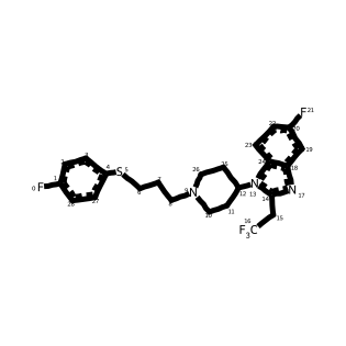 Fc1ccc(SCCCN2CCC(n3c(CC(F)(F)F)nc4cc(F)ccc43)CC2)cc1